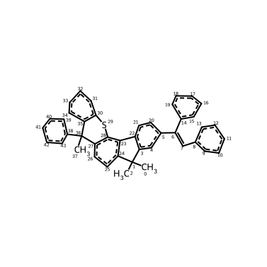 CC1(C)c2cc(/C(=C/c3ccccc3)c3ccccc3)ccc2-c2c1ccc1c2Sc2ccccc2C1(C)c1ccccc1